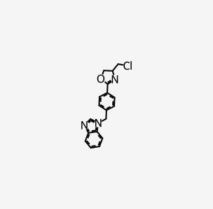 ClCC1COC(c2ccc(Cn3cnc4ccccc43)cc2)=N1